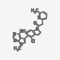 Cc1cccc(CC(=O)N2CCc3c2ccc(-c2cn(C)c4ncnc(N)c24)c3Cl)n1